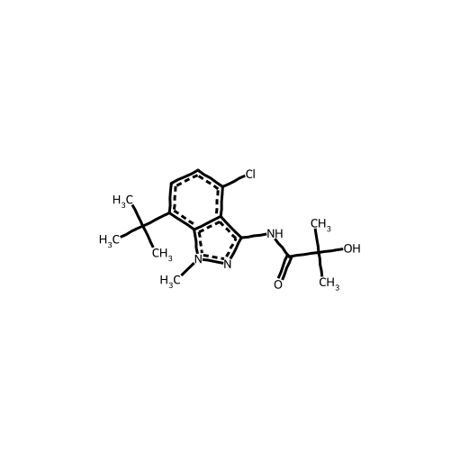 Cn1nc(NC(=O)C(C)(C)O)c2c(Cl)ccc(C(C)(C)C)c21